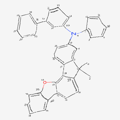 CC1(C)c2cc(N(c3ccccc3)c3cccc(-c4ccccc4)c3)ccc2-c2c1ccc1c2oc2ccccc21